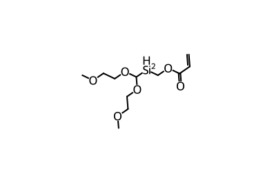 C=CC(=O)OC[SiH2]C(OCCOC)OCCOC